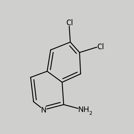 Nc1nccc2cc(Cl)c(Cl)cc12